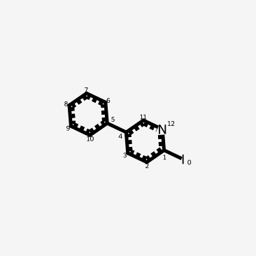 Ic1ccc(-c2ccccc2)cn1